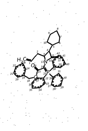 C=CCC1C(C2CCCCC2)C(=O)N1C(C(=O)OCc1ccccc1)=P(c1ccccc1)(c1ccccc1)c1ccccc1